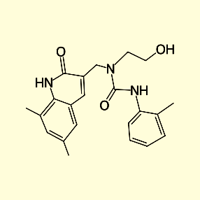 Cc1cc(C)c2[nH]c(=O)c(CN(CCO)C(=O)Nc3ccccc3C)cc2c1